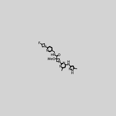 COC1(C(=O)NCc2ccc(N3CC(F)C3)nc2)CN(c2nc(C)cc(Nc3cc(C)[nH]n3)n2)C1